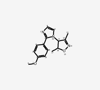 COc1ccc(-c2nccn2C2C(C)=NOC2C)cc1